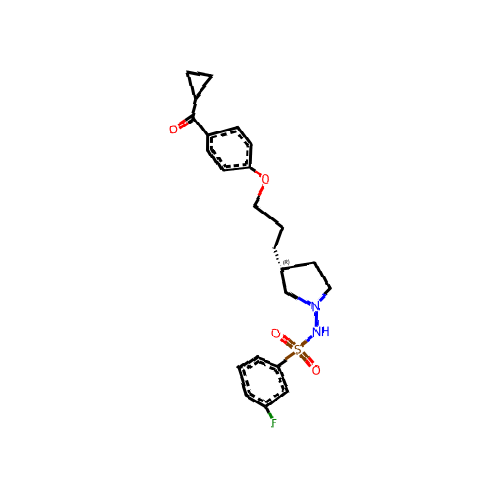 O=C(c1ccc(OCCC[C@@H]2CCN(NS(=O)(=O)c3cccc(F)c3)C2)cc1)C1CC1